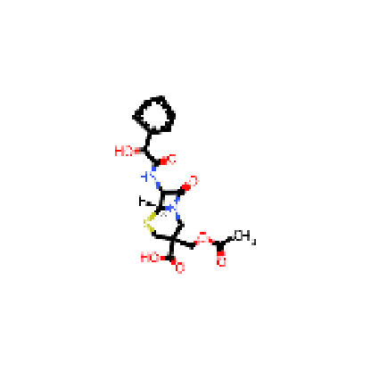 CC(=O)OCC1(C(=O)O)CS[C@@H]2C(NC(=O)C(O)c3ccccc3)C(=O)N2C1